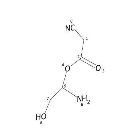 N#CCC(=O)OC(N)CO